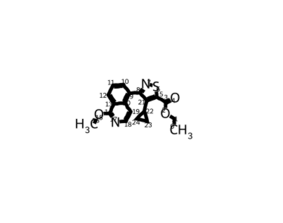 CCOC(=O)c1snc(-c2cccc3c(OC)nccc23)c1C1CC1